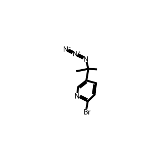 CC(C)(N=[N+]=[N-])c1ccc(Br)nc1